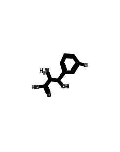 NC(C(=O)O)C(O)c1cccc(Cl)c1